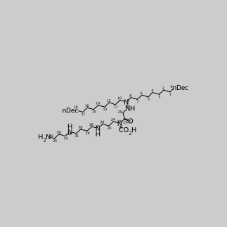 CCCCCCCCCCCCCCCCCCN(CCCCCCCCCCCCCCCCCC)NCC(=O)N(CCCNCCCCNCCCN)C(=O)O